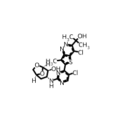 Cc1c(-c2nc(N[C@@H]3C[C@H]4CO[C@H](O4)[C@H]3O)ncc2Cl)sc2c(Cl)c(C(C)(C)O)nnc12